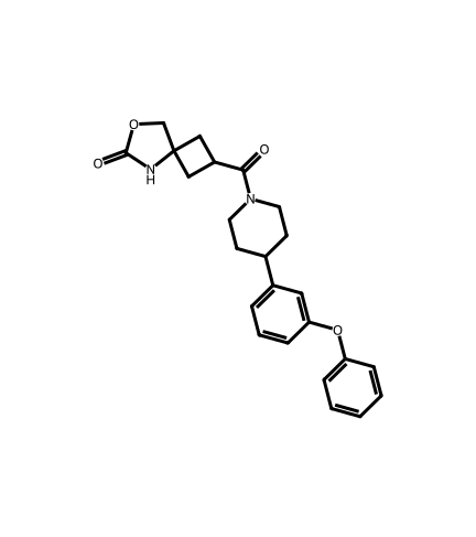 O=C1NC2(CO1)CC(C(=O)N1CCC(c3cccc(Oc4ccccc4)c3)CC1)C2